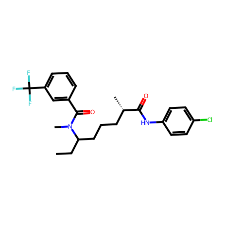 CCC(CCC[C@H](C)C(=O)Nc1ccc(Cl)cc1)N(C)C(=O)c1cccc(C(F)(F)F)c1